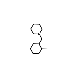 CC1CCCCC1CN1CCCCC1